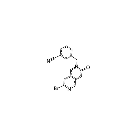 N#Cc1cccc(Cn2cc3cc(Br)ncc3cc2=O)c1